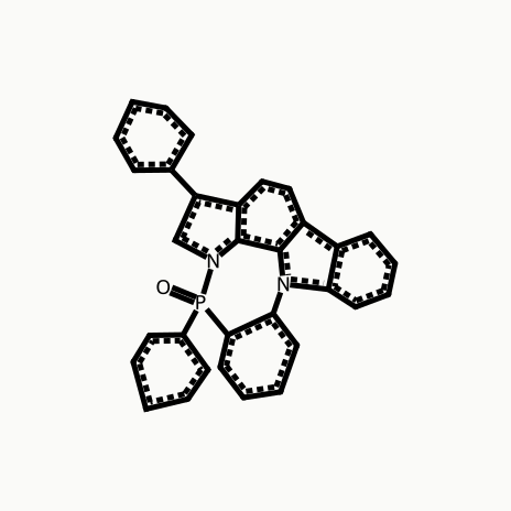 O=P1(c2ccccc2)c2ccccc2-n2c3ccccc3c3ccc4c(-c5ccccc5)cn1c4c32